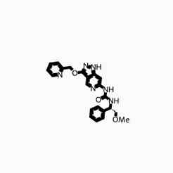 COC[C@@H](NC(=O)Nc1cc2[nH]nc(OCc3ccccn3)c2cn1)c1ccccc1